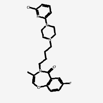 CC1=COc2ccc(F)cc2C(=O)N1CCCCN1CCN(c2cccc(Cl)n2)CC1